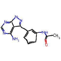 CC(=O)Nc1cccc(C2=N[N]c3ncnc(N)c32)c1